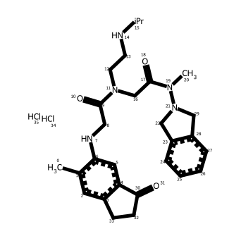 Cc1cc2c(cc1NCC(=O)N(CCNC(C)C)CC(=O)N(C)N1Cc3ccccc3C1)C(=O)CC2.Cl.Cl